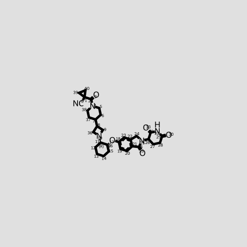 N#CC1(C(=O)N2CCC(C3CN([C@@H]4CCCC[C@H]4Oc4ccc5c(c4)CN(C4CCC(=O)NC4=O)C5=O)C3)CC2)CC1